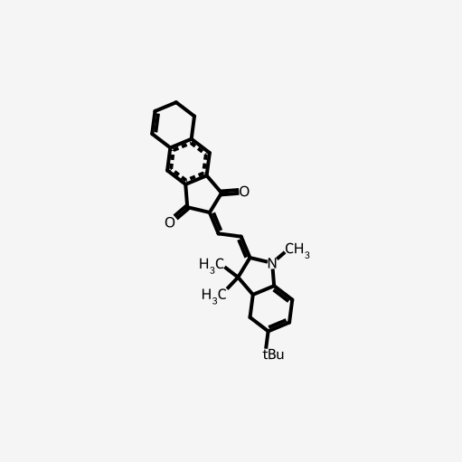 CN1C2=CC=C(C(C)(C)C)CC2C(C)(C)/C1=C\C=C1\C(=O)c2cc3c(cc2C1=O)CCC=C3